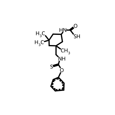 CC1(C)CC(NC(=O)S)CC(C)(CNC(=S)Oc2ccccc2)C1